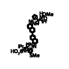 COC(=O)N[C@H](C(=O)N1CCC[C@H]1c1nc2ccc3cc(-c4ccc5c(ccc6nc([C@@H]7C[C@H](SC)CN7C(=O)[C@@H](NC(=O)O)C(C)C)[nH]c65)c4)ccc3c2[nH]1)C(C)C